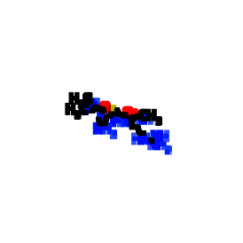 CNC(=O)C(CCCCNC(=N)N)NC(=O)c1csc([C@H]2C[C@@H](N)CN2C(=O)c2cn(C)c(C)n2)n1